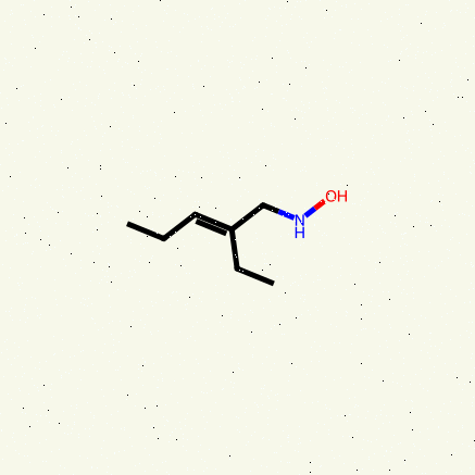 CC/C=C(\CC)CNO